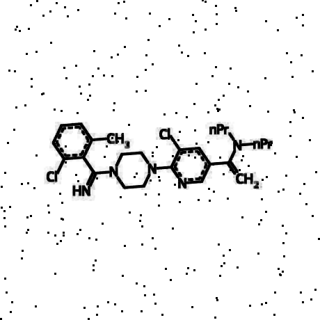 C=C(c1cnc(N2CCN(C(=N)c3c(C)cccc3Cl)CC2)c(Cl)c1)N(CCC)CCC